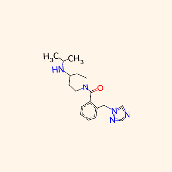 CC(C)NC1CCN(C(=O)c2ccccc2Cn2cncn2)CC1